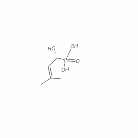 CC(C)=C[C@H](O)P(=O)(O)O